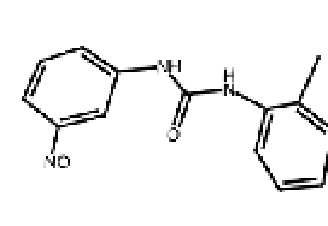 Cc1ccccc1NC(=O)Nc1cccc(N=O)c1